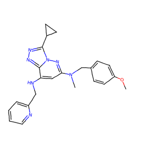 COc1ccc(CN(C)c2cc(NCc3ccccn3)c3nnc(C4CC4)n3n2)cc1